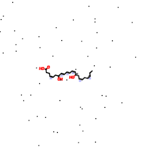 CC/C=C\C/C=C\C[C@@H](O)\C=C/C=C/C=C/[C@@H](O)C/C=C\CCC(=O)O